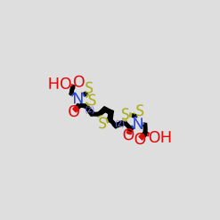 O=C(O)CN1C(=O)/C(=C/c2ccc(/C=C3\SC(=S)N(CC(=O)O)C3=O)s2)SC1=S